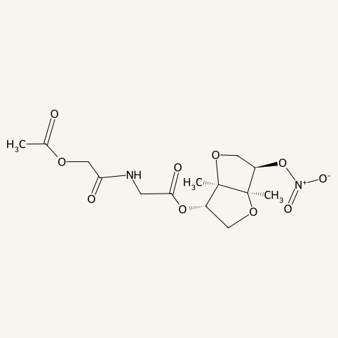 CC(=O)OCC(=O)NCC(=O)O[C@H]1CO[C@]2(C)[C@H](O[N+](=O)[O-])CO[C@]12C